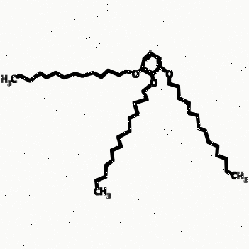 CCCCCCCCCCCCCCOc1c[c]cc(OCCCCCCCCCCCCCC)c1OCCCCCCCCCCCCCC